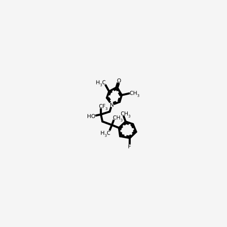 Cc1ccc(F)cc1C(C)(C)CC(O)(Cn1cc(C)c(=O)c(C)c1)C(F)(F)F